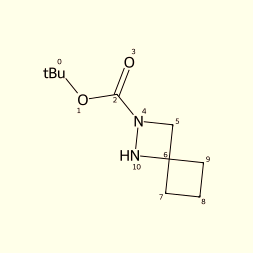 CC(C)(C)OC(=O)N1CC2(CCC2)N1